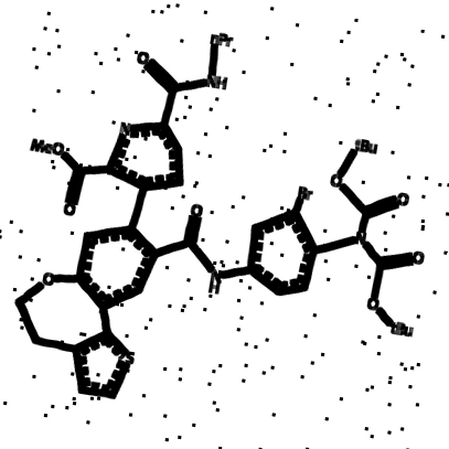 CCCNC(=O)c1ccc(-c2cc3c(cc2C(=O)Nc2ccc(N(C(=O)OC(C)(C)C)C(=O)OC(C)(C)C)c(Br)c2)-c2sccc2CCO3)c(C(=O)OC)n1